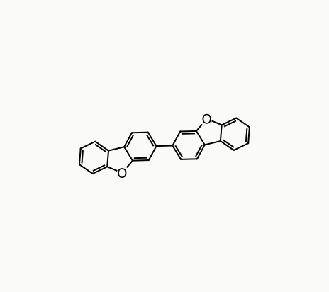 c1ccc2c(c1)oc1cc(-c3ccc4c(c3)oc3ccccc34)ccc12